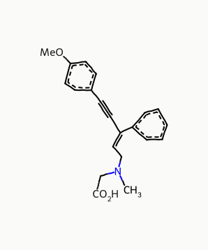 COc1ccc(C#CC(=CCN(C)CC(=O)O)c2ccccc2)cc1